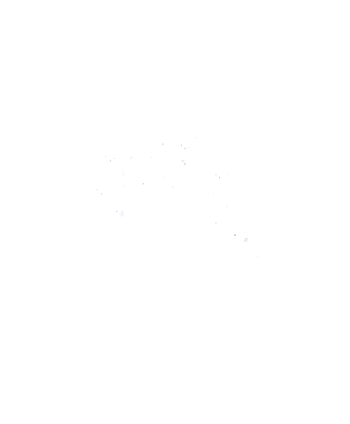 Nc1ncnc2cc(CN3CC[C@H]([N]C(=O)C=Cc4ccc(Cl)s4)C3=O)ccc12